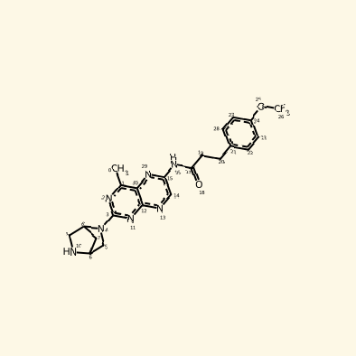 Cc1nc(N2CC3CC2CN3)nc2ncc(NC(=O)CCc3ccc(OC(F)(F)F)cc3)nc12